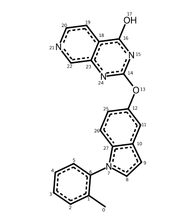 Cc1ccccc1-n1ccc2cc(Oc3nc(O)c4ccncc4n3)ccc21